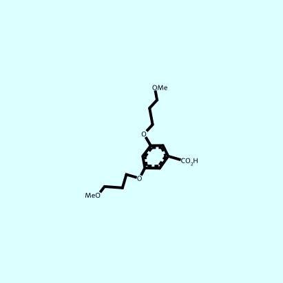 COCCCOc1cc(OCCCOC)cc(C(=O)O)c1